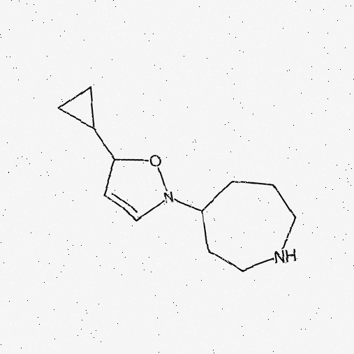 C1=CN(C2CCCNCC2)OC1C1CC1